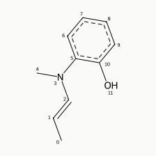 CC=CN(C)c1ccccc1O